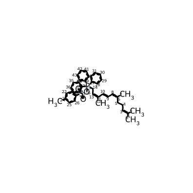 CC(C)=CCCC(C)=CC=CC(C)=CCP(OS(=O)(=O)c1ccc(C)cc1)(c1ccccc1)(c1ccccc1)c1ccccc1